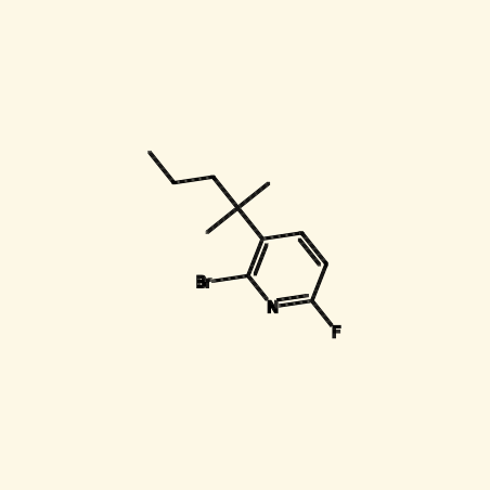 CCCC(C)(C)c1ccc(F)nc1Br